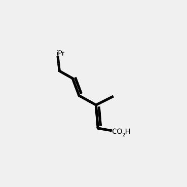 CC(/C=C/CC(C)C)=C\C(=O)O